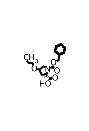 CCCOC1C[C@@H](C(=O)O)N(C(=O)OCc2ccccc2)C1